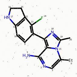 CCc1cnc(N)c2c(-c3ccc4c(c3F)CCN4)nc(C)n12